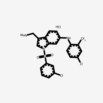 CNCc1cn(S(=O)(=O)c2cccc(Cl)c2)c2cc(Nc3ccc(Cl)cc3C(F)(F)F)ccc12.Cl